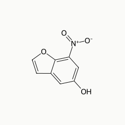 O=[N+]([O-])c1cc(O)cc2ccoc12